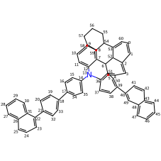 C1=CC2=CC=CC(c3ccccc3N(c3ccc(-c4ccc(-c5cccc6ccccc56)cc4)cc3)c3ccc(-c4ccc5ccccc5c4)cc3)C2C(C2CCCCC2)=C1